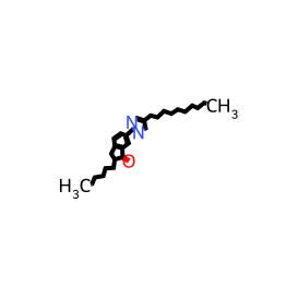 CCCCCCCCCCc1cnc(-c2ccc3c(c2)C(=O)C(CCCCCC)C3)nc1